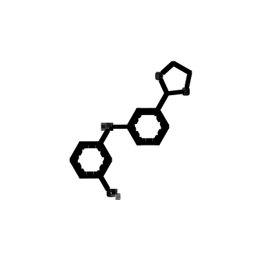 FC(F)(F)c1cccc(Nc2cccc(C3OCCO3)c2)c1